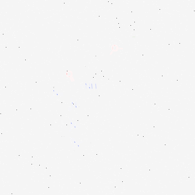 O=C(NC1CCC(OC(F)F)CC1)c1nccc(-n2ccnc2)n1